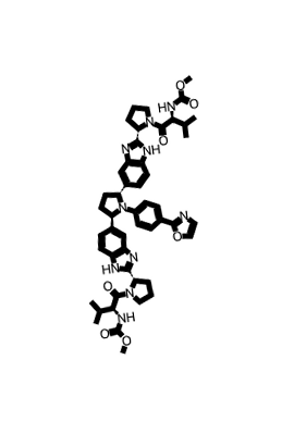 COC(=O)N[C@H](C(=O)N1CCC[C@H]1c1nc2cc([C@H]3CC[C@H](c4ccc5[nH]c([C@@H]6CCCN6C(=O)[C@@H](NC(=O)OC)C(C)C)nc5c4)N3c3ccc(-c4ncco4)cc3)ccc2[nH]1)C(C)C